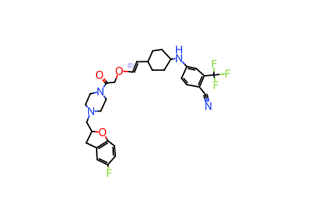 N#Cc1ccc(NC2CCC(/C=C/OCC(=O)N3CCN(CC4Cc5cc(F)ccc5O4)CC3)CC2)cc1C(F)(F)F